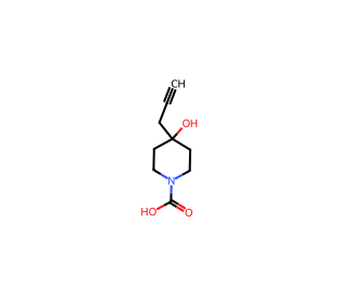 C#CCC1(O)CCN(C(=O)O)CC1